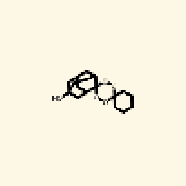 OC12CC3CC(C1)C1(OOC4(C[CH]CCC4)OO1)C(C3)C2